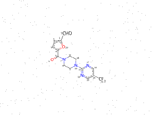 O=Cc1ccc(C(=O)N2CCN(c3ncc(C(F)(F)F)cn3)CC2)o1